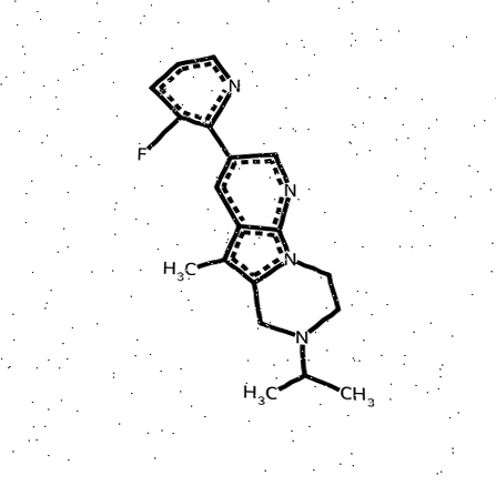 Cc1c2n(c3ncc(-c4ncccc4F)cc13)CCN(C(C)C)C2